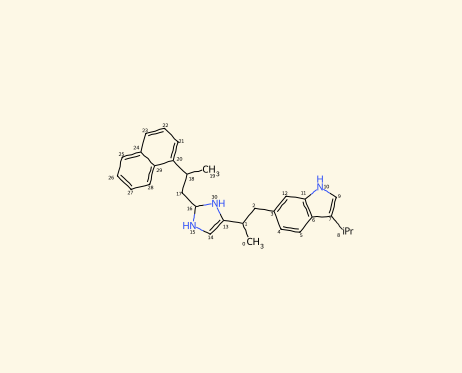 CC(Cc1ccc2c(C(C)C)c[nH]c2c1)C1=CNC(CC(C)c2cccc3ccccc23)N1